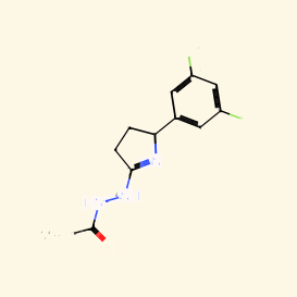 COC(=O)NNC1=NC(c2cc(F)cc(F)c2)CC1